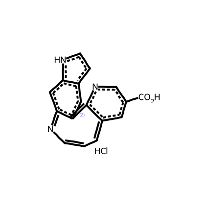 Cl.O=C(O)c1cn/c2c(c1)=CC=CN=c1cc3[nH]ccc3c\c1=2